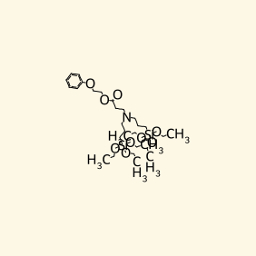 CCO[Si](CCCN(CCC[Si](OCC)(OCC)OCC)CCC(=O)OCCOc1ccccc1)(OCC)OCC